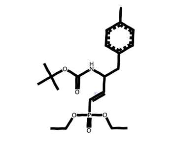 CCOP(=O)(/C=C/C(Cc1ccc(C)cc1)NC(=O)OC(C)(C)C)OCC